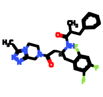 Cc1nnc2n1CCN(C(=O)C[C@@H](Cc1cc(F)c(F)cc1F)NC(=O)C(C)Cc1ccccc1)C2